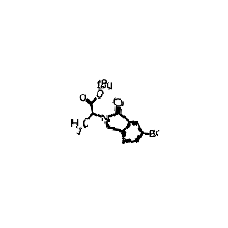 CC(C(=O)OC(C)(C)C)N1Cc2ccc(Br)cc2C1=O